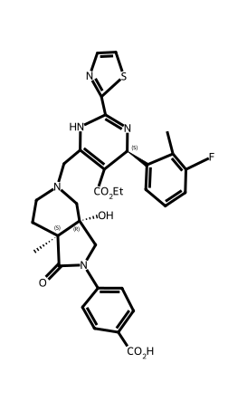 CCOC(=O)C1=C(CN2CC[C@]3(C)C(=O)N(c4ccc(C(=O)O)cc4)C[C@]3(O)C2)NC(c2nccs2)=N[C@H]1c1cccc(F)c1C